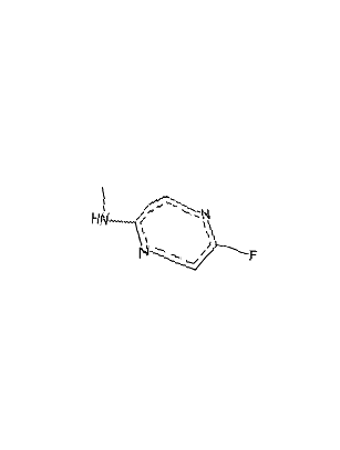 CNc1cnc(F)cn1